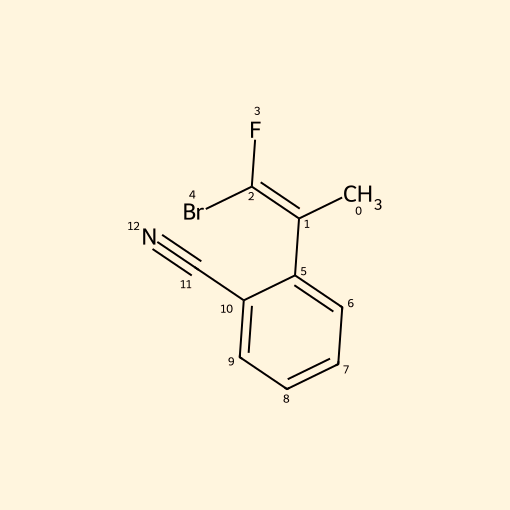 CC(=C(F)Br)c1ccccc1C#N